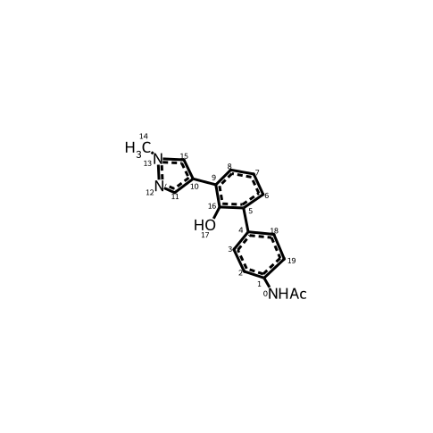 CC(=O)Nc1ccc(-c2cccc(-c3cnn(C)c3)c2O)cc1